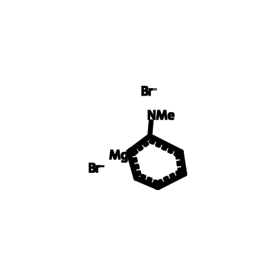 CNc1ccccc1.[Br-].[Br-].[Mg+2]